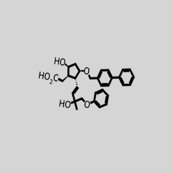 CC(O)(C=C[C@@H]1[C@@H](CC(=O)O)[C@@H](O)C[C@H]1OCc1ccc(-c2ccccc2)cc1)COc1ccccc1